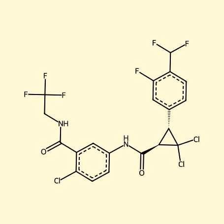 O=C(NCC(F)(F)F)c1cc(NC(=O)[C@H]2[C@H](c3ccc(C(F)F)c(F)c3)C2(Cl)Cl)ccc1Cl